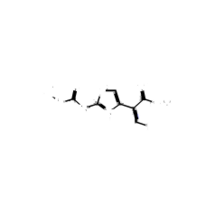 CC/C=C(\C(=O)OC)c1csc(NC(=O)OC(C)(C)C)n1